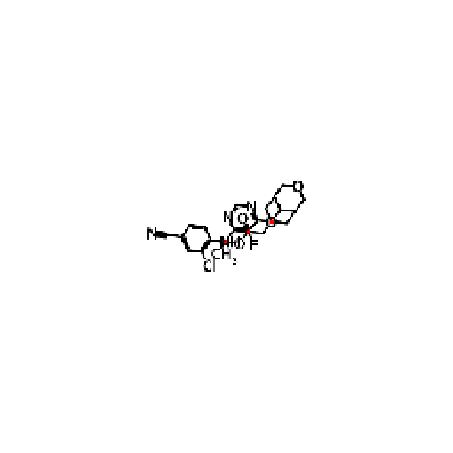 CCOC(=O)CN1CC2COCC(C1)C2Oc1ncnc(Nc2ccc(C#N)cc2Cl)c1F